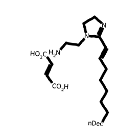 CCCCCCCCCCCCCCCC=CC1=NCCN1CCN.O=C(O)C=CC(=O)O